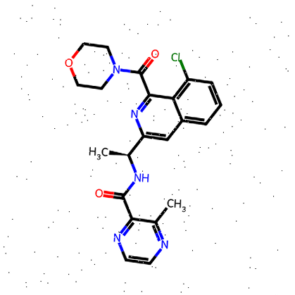 Cc1nccnc1C(=O)N[C@@H](C)c1cc2cccc(Cl)c2c(C(=O)N2CCOCC2)n1